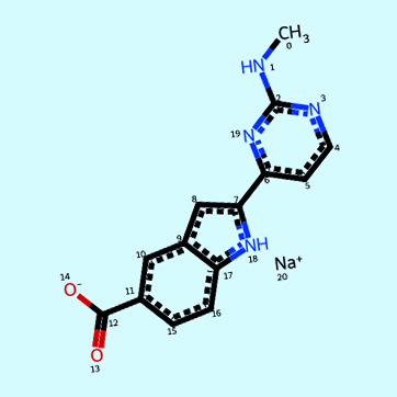 CNc1nccc(-c2cc3cc(C(=O)[O-])ccc3[nH]2)n1.[Na+]